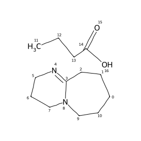 C1CCC2=NCCCN2CC1.CCCC(=O)O